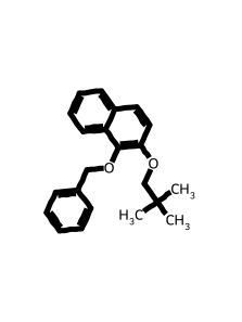 CC(C)(C)COc1ccc2ccccc2c1OCc1ccccc1